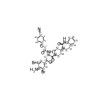 N#Cc1ccc(OCC(=O)N[C@@H](CC(=O)c2cc(Br)c(N)c(Br)c2)C(=O)N2CCC(N3CCc4ccccc4NC3=O)CC2)cc1